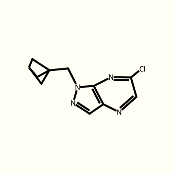 Clc1cnc2cnn(CC34CC(C3)C4)c2n1